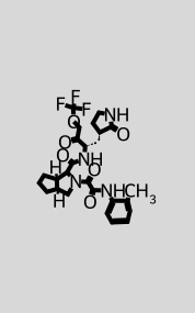 Cc1ccccc1NC(=O)C(=O)N1C[C@@H]2CCC[C@@H]2C1C(=O)N[C@@H](C[C@@H]1CCNC1=O)C(=O)COC(F)(F)F